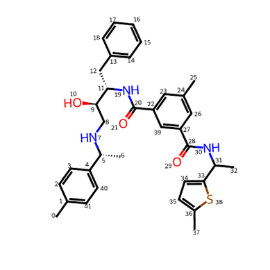 Cc1ccc([C@@H](C)NC[C@@H](O)[C@H](Cc2ccccc2)NC(=O)c2cc(C)cc(C(=O)NC(C)c3ccc(C)s3)c2)cc1